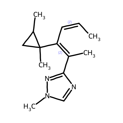 C/C=C\C(=C(/C)c1ncn(C)n1)C1(C)CC1C